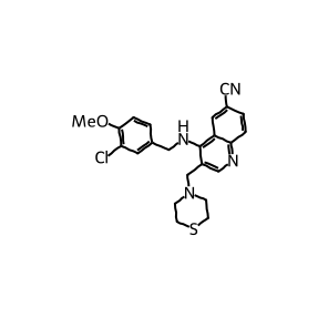 COc1ccc(CNc2c(CN3CCSCC3)cnc3ccc(C#N)cc23)cc1Cl